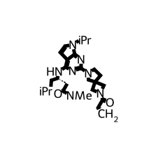 C=CC(=O)N1CC2(CCN(c3nc(N[C@H](CC(=O)NC)CC(C)C)c4ccn(C(C)C)c4n3)C2)C1